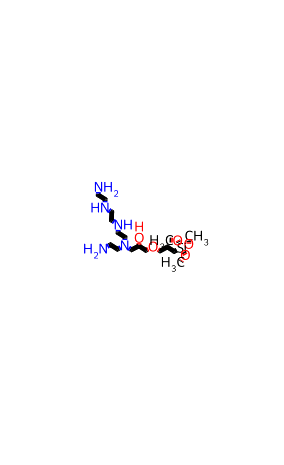 CO[Si](CCCOCC(O)CN(CCN)CCNCCNCCN)(OC)OC